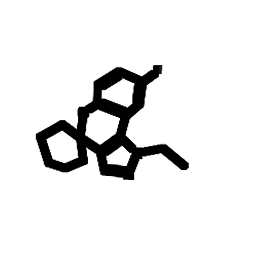 CCn1ncc2c1-c1cc(F)ccc1OC21CCCCC1